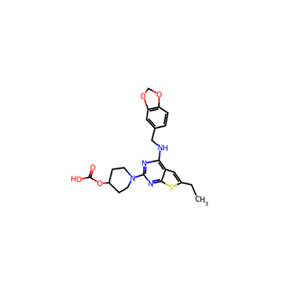 CCc1cc2c(NCc3ccc4c(c3)OCO4)nc(N3CCC(OC(=O)O)CC3)nc2s1